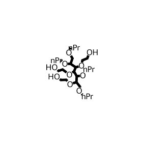 CCCOCC(OCCO)C(OCCC)C(OCCO)C(OCCO)C(COCCC)OCCC